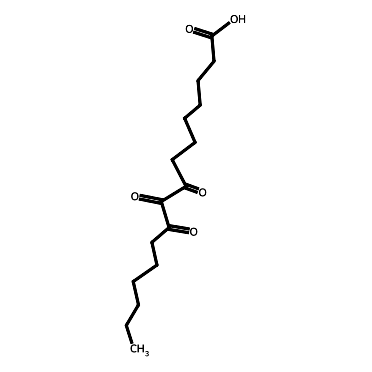 CCCCCCC(=O)C(=O)C(=O)CCCCCCC(=O)O